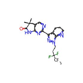 CC1(C)C(=O)Nc2nc(-c3nn(CCC(F)(F)C(F)(F)F)c4ncccc34)ncc21